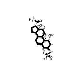 CC(=O)[C@H]1CCC2C3CC=C4CC(OS(=O)(=O)[O-])CC[C@]4(C)C3CC[C@@]21C.[Na+]